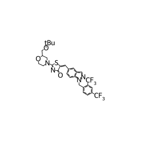 CC(C)(C)OCC1CN(C2=NC(=O)/C(=C\c3ccc4c(cnn4Cc4ccc(C(F)(F)F)cc4C(F)(F)F)c3)S2)CCO1